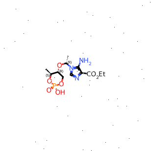 CCOC(=O)c1ncn([C@@H](C)O[C@@H]2COP(=O)(O)O[C@H]2C)c1N